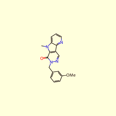 COc1cccc(Cn2ncc3c4ncccc4n(C)c3c2=O)c1